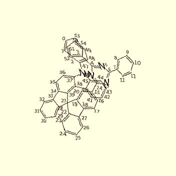 c1ccc(-c2nc(-c3ccccc3)nc(-c3ccc4c(c3)C3(c5ccccc5-4)c4ccccc4-c4ccc5c(c43)c3ccccc3n5-c3ccccc3)n2)cc1